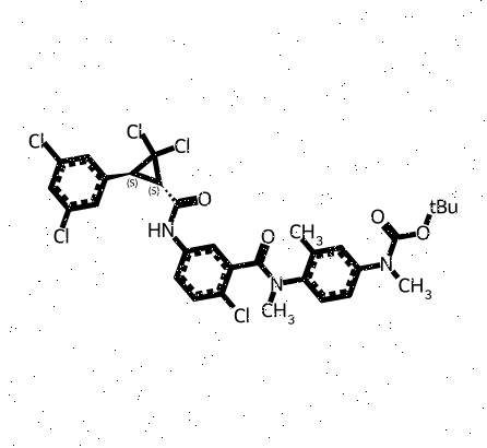 Cc1cc(N(C)C(=O)OC(C)(C)C)ccc1N(C)C(=O)c1cc(NC(=O)[C@@H]2[C@@H](c3cc(Cl)cc(Cl)c3)C2(Cl)Cl)ccc1Cl